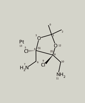 CC1(C)O[C@](Cl)(CN)[C@@](Cl)(CN)O1.[Pt]